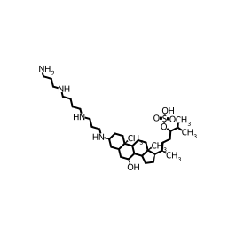 CC(C)C(CC[C@@H](C)[C@H]1CCC2C3C(CC[C@@]21C)[C@@]1(C)CC[C@H](NCCCNCCCCNCCCN)CC1C[C@H]3O)OS(=O)(=O)O